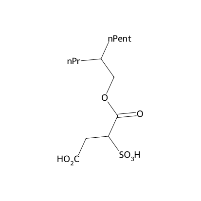 CCCCCC(CCC)COC(=O)C(CC(=O)O)S(=O)(=O)O